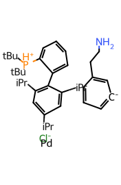 CC(C)c1cc(C(C)C)c(-c2ccccc2[PH+](C(C)(C)C)C(C)(C)C)c(C(C)C)c1.NCCc1c[c-]ccc1.[Cl-].[Pd]